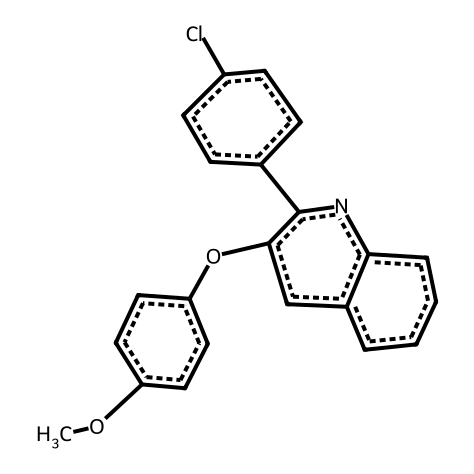 COc1ccc(Oc2cc3ccccc3nc2-c2ccc(Cl)cc2)cc1